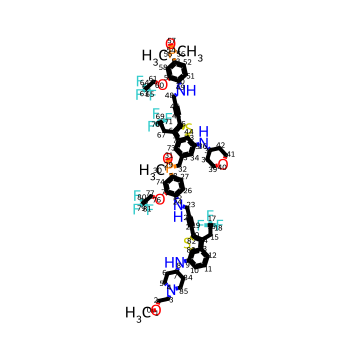 COCCN1CCC(Nc2cccc3c(CC(F)(F)F)c(C#CCNc4ccc(P(C)(=O)Cc5cc(NC6CCOCC6)c6sc(C#CCNc7ccc(P(C)(C)=O)cc7OCC(F)(F)F)c(CC(F)(F)F)c6c5)cc4OCC(F)(F)F)sc23)CC1